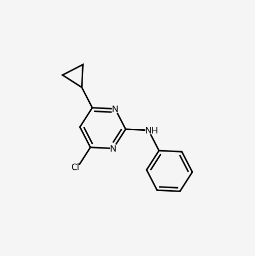 Clc1cc(C2CC2)nc(Nc2ccccc2)n1